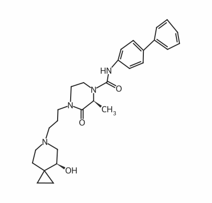 C[C@H]1C(=O)N(CCCN2CCC3(CC3)[C@H](O)C2)CCN1C(=O)Nc1ccc(-c2ccccc2)cc1